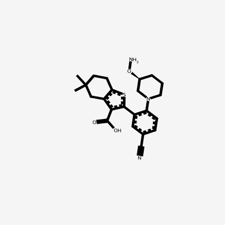 CC1(C)CCc2sc(-c3cc(C#N)ccc3N3CCC[C@H](ON)C3)c(C(=O)O)c2C1